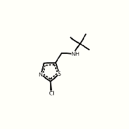 CC(C)(C)NCc1cnc(Cl)s1